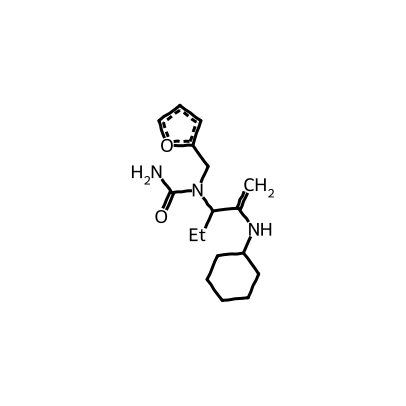 C=C(NC1CCCCC1)C(CC)N(Cc1ccco1)C(N)=O